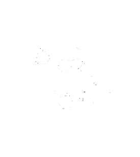 COc1ncc(-c2ccc3c(c2)c(C(C)=O)nn3CC(=O)N2C[C@H]3C[C@H]3[C@H]2C(=O)Nc2nc(Br)ccc2C)cn1